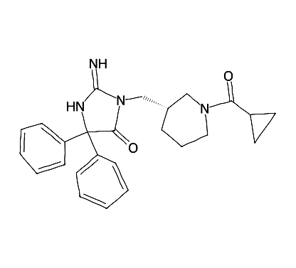 N=C1NC(c2ccccc2)(c2ccccc2)C(=O)N1C[C@H]1CCCN(C(=O)C2CC2)C1